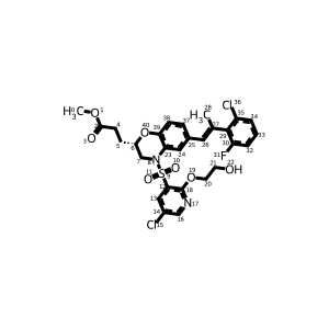 COC(=O)CC[C@H]1CN(S(=O)(=O)c2cc(Cl)cnc2OCCO)c2cc(/C=C(\C)c3c(F)cccc3Cl)ccc2O1